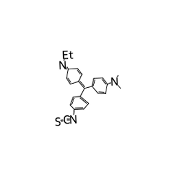 CCN=C1C=CC(=C(c2ccc(N=C=S)cc2)c2ccc(N(C)C)cc2)C=C1